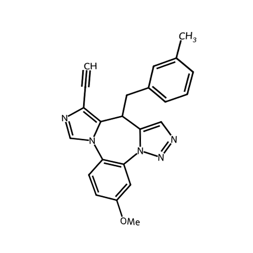 C#Cc1ncn2c1C(Cc1cccc(C)c1)c1cnnn1-c1cc(OC)ccc1-2